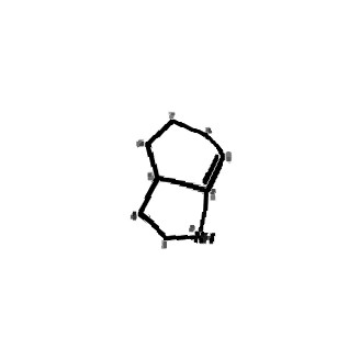 C1=C2NCCC2CCC1